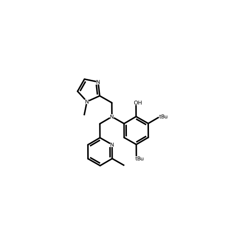 Cc1cccc(CN(Cc2nccn2C)c2cc(C(C)(C)C)cc(C(C)(C)C)c2O)n1